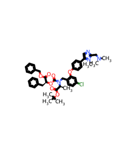 C[C@@H](C(=O)OC(C)(C)C)N(Cc1ccc(Cl)cc1Oc1ccc(-c2cnc(CN(C)C)n2C)cc1)C(=O)O[C@@H](Cc1ccccc1)C(=O)OCc1ccccc1